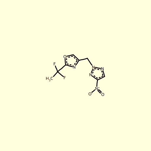 CC(F)(F)c1nc(Cn2ncc([N+](=O)[O-])n2)co1